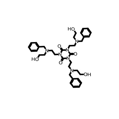 O=c1n(CCN(CCO)Cc2ccccc2)c(=O)n(CCN(CCO)Cc2ccccc2)c(=O)n1CCN(CCO)Cc1ccccc1